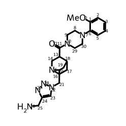 COc1ccccc1N1CCN(C(=O)C2CN3CCC2CC3Cn2cc(CN)nn2)CC1